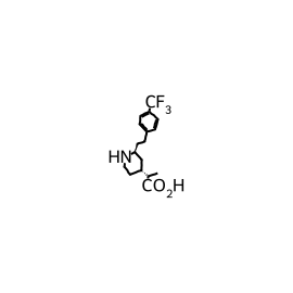 CC(C(=O)O)[C@@H]1CCN[C@@H](CCc2ccc(C(F)(F)F)cc2)C1